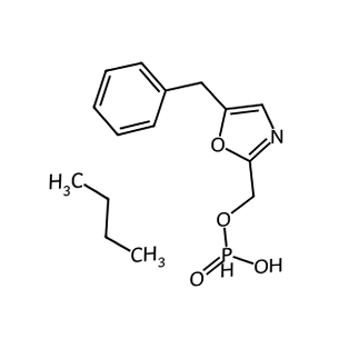 CCCC.O=[PH](O)OCc1ncc(Cc2ccccc2)o1